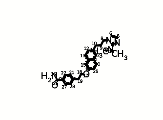 CN(C)c1nccn1CCCc1ccc2cc(OCCc3ccc(C(N)=O)cc3)ccc2c1